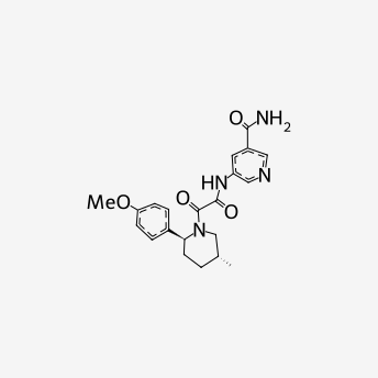 COc1ccc([C@@H]2CC[C@@H](C)CN2C(=O)C(=O)Nc2cncc(C(N)=O)c2)cc1